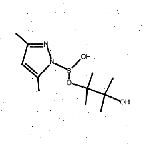 Cc1cc(C)n(B(O)OC(C)(C)C(C)(C)O)n1